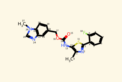 Cc1nc(-c2ccccc2F)sc1NC(=O)OCc1ccc2c(c1)ncn2C